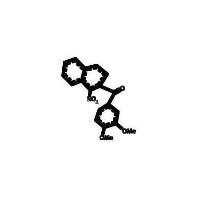 COc1ccc(C(=O)c2ccc3ccccc3c2[N+](=O)[O-])cc1OC